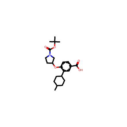 CC1CCC(c2cc(C(=O)O)ccc2OC2CCN(C(=O)OC(C)(C)C)C2)CC1